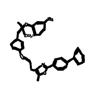 Cc1oc(-c2ccc(-c3ccccc3)cc2)nc1CCOc1ccc(CC(C)(Oc2cccc(C(C)(C)C)c2)C(=O)O)cc1